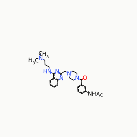 CC(=O)Nc1cccc(C(=O)N2CCN(Cc3nc(NCCCN(C)C)c4ccccc4n3)CC2)c1